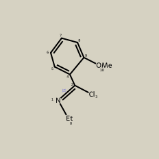 CC/N=C(\Cl)c1ccccc1OC